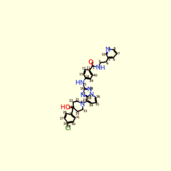 O=C(NCCc1cccnc1)c1ccc(Nc2nc3c(N4CCC(O)(c5ccc(Cl)cc5)CC4)cccn3n2)cc1